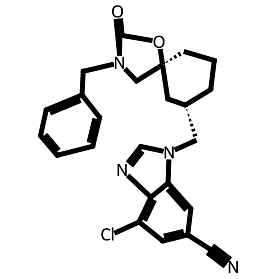 N#Cc1cc(Cl)c2ncn(C[C@H]3CCC[C@]4(C3)CN(Cc3ccccc3)C(=O)O4)c2c1